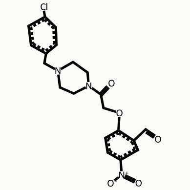 O=Cc1cc([N+](=O)[O-])ccc1OCC(=O)N1CCN(Cc2ccc(Cl)cc2)CC1